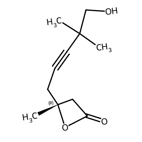 CC(C)(C#CC[C@]1(C)CC(=O)O1)CO